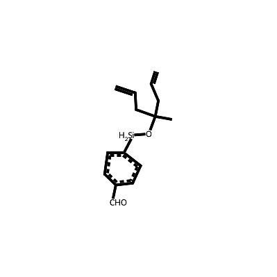 C=CCC(C)(CC=C)O[SiH2]c1ccc(C=O)cc1